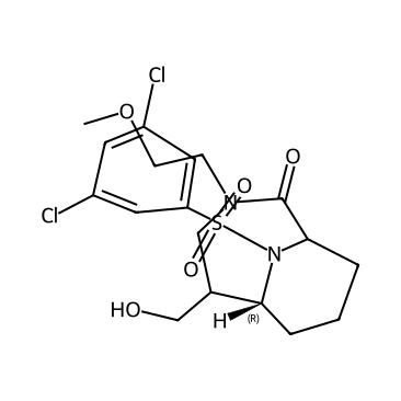 COCCN1CC(CO)[C@H]2CCCC(C1=O)N2S(=O)(=O)c1cc(Cl)cc(Cl)c1